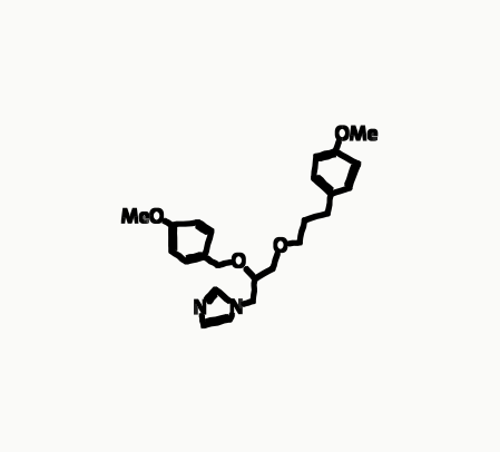 COc1ccc(CCCOCC(Cn2ccnc2)OCc2ccc(OC)cc2)cc1